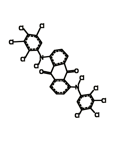 O=C1c2cccc(N(Cl)c3cc(Cl)c(Cl)c(Cl)c3Cl)c2C(=O)c2cccc(N(Cl)c3cc(Cl)c(Cl)c(Cl)c3Cl)c21